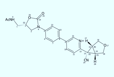 CC(=O)NC[C@H]1CN(c2ccc(-c3ccc([C@@]4(C#N)[C@@H]5COC[C@@H]54)nc3)cc2)C(=O)O1